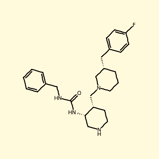 O=C(NCc1ccccc1)N[C@H]1CNCC[C@H]1CN1CCC[C@@H](Cc2ccc(F)cc2)C1